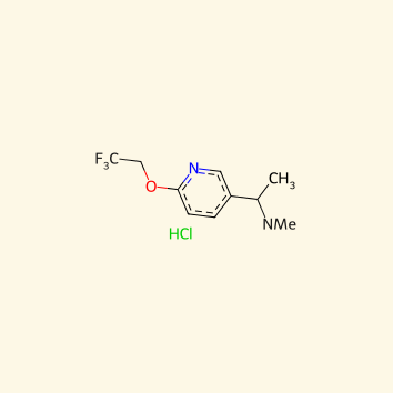 CNC(C)c1ccc(OCC(F)(F)F)nc1.Cl